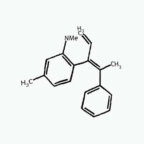 C=C/C(=C(\C)c1ccccc1)c1ccc(C)cc1NC